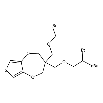 CCCCC(CC)COCC1(COCC(C)CC)COc2cscc2OC1